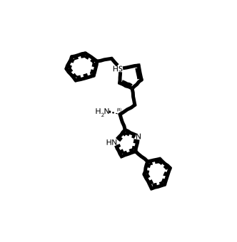 N[C@H](CC1=C[SH](Cc2ccccc2)C=C1)c1nc(-c2ccccc2)c[nH]1